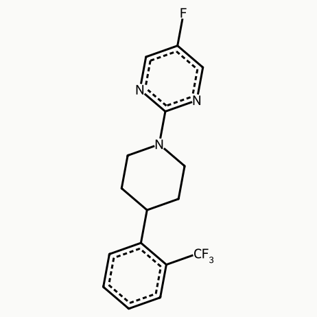 Fc1cnc(N2CCC(c3ccccc3C(F)(F)F)CC2)nc1